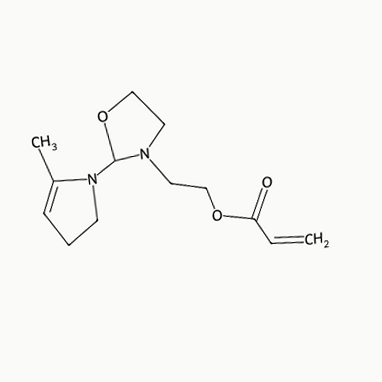 C=CC(=O)OCCN1CCOC1N1CCC=C1C